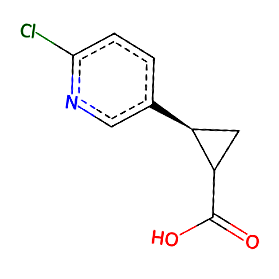 O=C(O)C1C[C@@H]1c1ccc(Cl)nc1